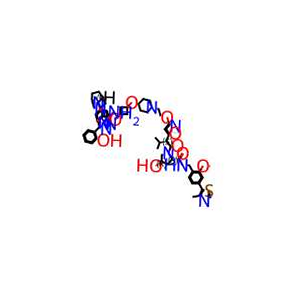 COc1cc(-c2scnc2C)ccc1CNC(=O)[C@@H]1C[C@@H](O)CN1C(=O)[C@H](c1cc(OCCN2CCC(OC3CC(Oc4cc(N5C6CC[C@@H]5CN(c5cc(-c7ccccc7O)nnc5N)C6)ccn4)C3)CC2)no1)C(C)C